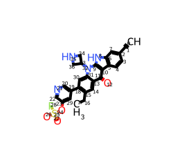 C#Cc1ccc2c(c1)[nH]c1c2c(=O)c2cc(CC)c(-c3cncc(OS(=O)(=O)F)c3)cc2n1C1CNC1